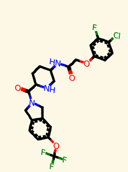 O=C(COc1ccc(Cl)c(F)c1)NC1CCC(C(=O)N2Cc3ccc(OC(F)(F)F)cc3C2)NC1